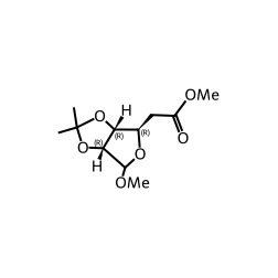 COC(=O)C[C@H]1OC(OC)[C@@H]2OC(C)(C)O[C@H]12